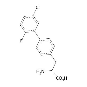 N[C@H](Cc1ccc(-c2cc(Cl)ccc2F)cc1)C(=O)O